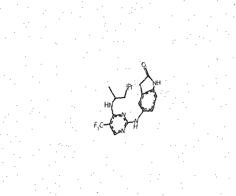 CC(C)CC(C)Nc1nc(Nc2ccc3c(c2)CC(=O)N3)ncc1C(F)(F)F